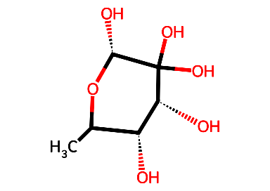 CC1O[C@H](O)C(O)(O)[C@H](O)[C@@H]1O